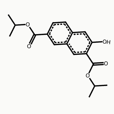 CC(C)OC(=O)c1ccc2cc(O)c(C(=O)OC(C)C)cc2c1